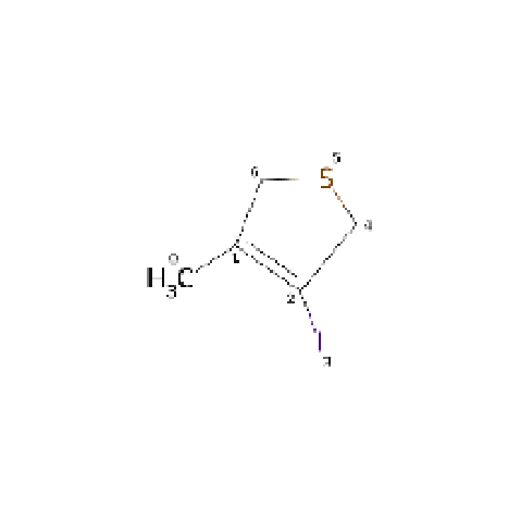 CC1=C(I)CSC1